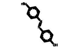 CCCCc1ccc(N=Nc2ccc(O)cc2)cc1